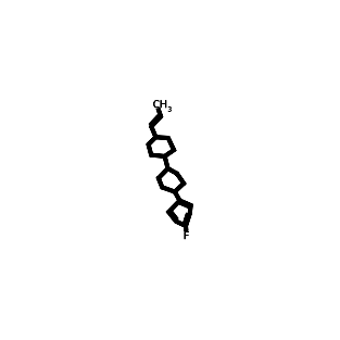 CC=CC1CCC(C2CCC(c3ccc(F)cc3)CC2)CC1